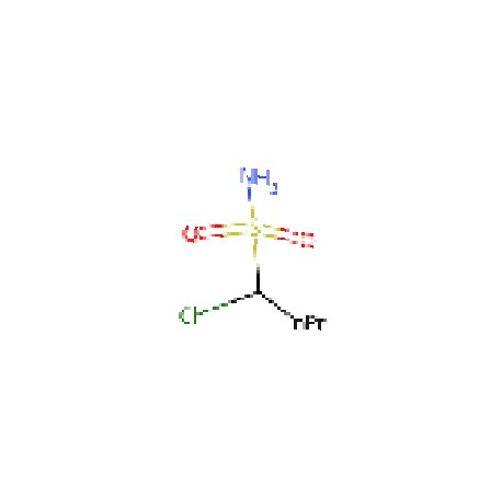 CCCC(Cl)S(N)(=O)=O